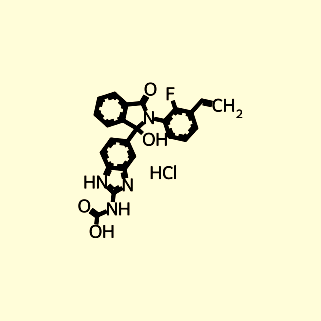 C=Cc1cccc(N2C(=O)c3ccccc3C2(O)c2ccc3[nH]c(NC(=O)O)nc3c2)c1F.Cl